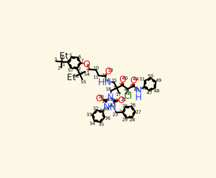 CCC(C)(C)c1ccc(OCCCC(=O)NCC(C)(Cn2c(=O)n(Cc3ccccc3)n(-c3ccccc3)c2=O)C(=O)C(Cl)C(=O)Nc2ccccc2)c(C(C)(C)CC)c1